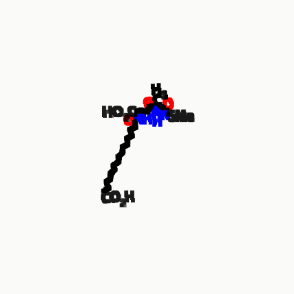 CSNC(=O)[C@H](C)NC(=O)CC[C@H](NC(=O)CCCCCCCCCCCCCCCCC(=O)O)C(=O)O